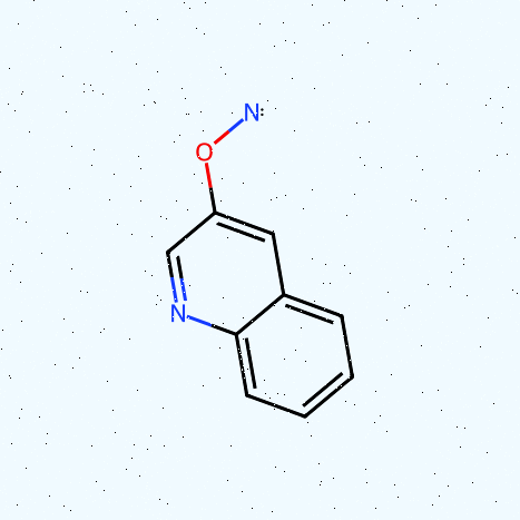 [N]Oc1cnc2ccccc2c1